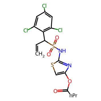 C=CC(c1c(Cl)cc(Cl)cc1Cl)S(=O)(=O)Nc1nc(OC(=O)CCC)cs1